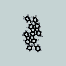 c1ccc(N(c2ccccc2)c2ccc3c(c2)C2(c4ccccc4-c4ccccc42)c2cc4c(cc2-3)C2(c3ccccc3-c3ccccc32)c2cc(N(c3ccccc3)c3ccccc3)ccc2-4)cc1